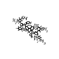 Bc1c(C)c(B)c(-c2cc(-c3c(C)c(B)c(C)c(S)c3S)cc(N(c3cccc(F)c3)c3ccc4c5c3ccc3ccc(N(c6cccc(F)c6)c6cc(-c7c(B)c(C)c(C)c(C)c7C)cc(-c7c(C)c(B)c(C)c(S)c7C)c6)c(c35)CC4)c2)c(C)c1C